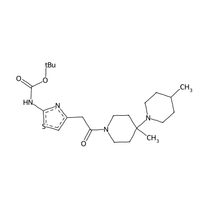 CC1CCN(C2(C)CCN(C(=O)Cc3csc(NC(=O)OC(C)(C)C)n3)CC2)CC1